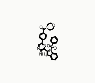 Nc1ncc(-c2ccc(C(=O)N3CCOCC3)cc2)nc1-c1cc2ccccc2n1S(=O)(=O)c1ccccc1